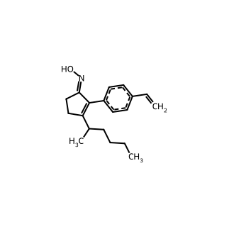 C=Cc1ccc(C2=C(C(C)CCCC)CC/C2=N\O)cc1